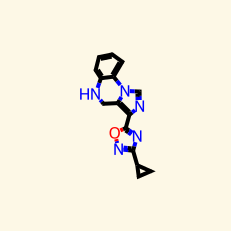 c1ccc2c(c1)NCc1c(-c3nc(C4CC4)no3)ncn1-2